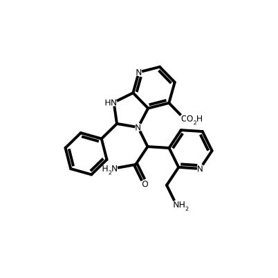 NCc1ncccc1C(C(N)=O)N1c2c(C(=O)O)ccnc2NC1c1ccccc1